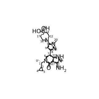 C[C@@H](C1CC1)n1cc(-c2cc(N3CCS(O)(O)CC3)n(C)n2)c2[nH]nc(N)c2c1=O